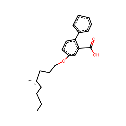 CCCC[C@H](C)CCCOc1ccc(-c2ccccc2)c(C(=O)O)c1